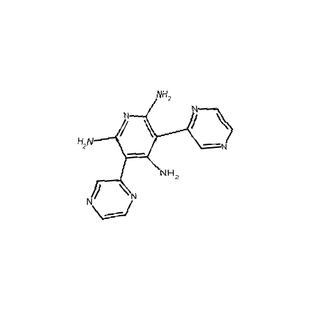 Nc1nc(N)c(-c2cnccn2)c(N)c1-c1cnccn1